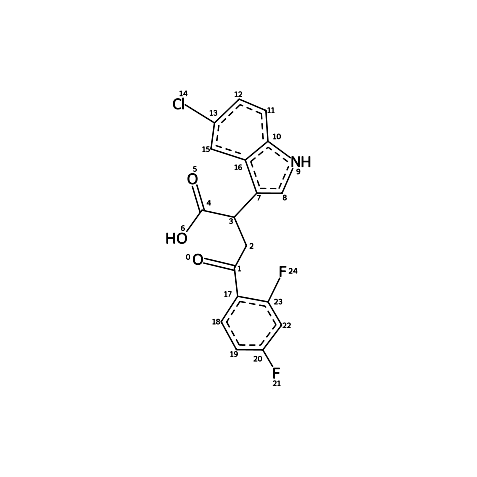 O=C(CC(C(=O)O)c1c[nH]c2ccc(Cl)cc12)c1ccc(F)cc1F